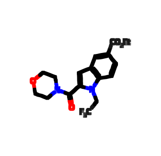 CCOC(=O)c1ccc2c(c1)cc(C(=O)N1CCOCC1)n2CC(F)(F)F